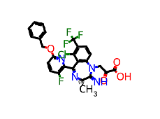 C[C@@H]1N=C(c2nc(OCc3ccccc3)ccc2F)c2c(ccc(C(F)(F)F)c2Cl)N(CC(=O)C(=O)O)C1=N